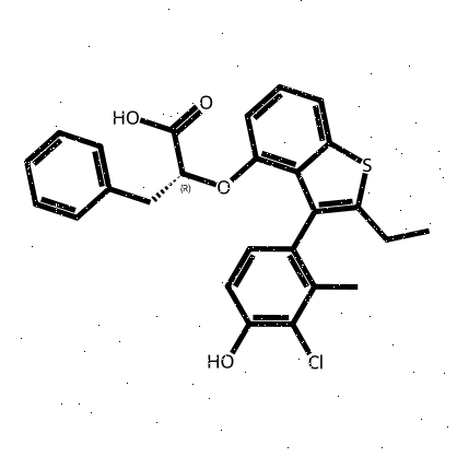 CCc1sc2cccc(O[C@H](Cc3ccccc3)C(=O)O)c2c1-c1ccc(O)c(Cl)c1C